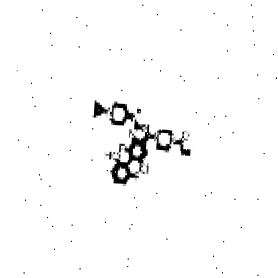 C=CC(=O)N1CCN(c2nc(N(C)C3CCN(C4CC4)CC3)nc3c(F)c(-c4c(O)cccc4F)c(Cl)cc23)CC1